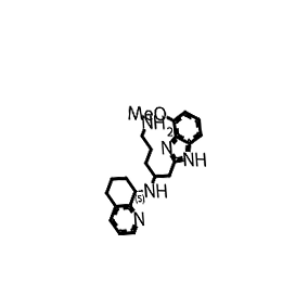 COc1cccc2[nH]c(CC(CCCN)N[C@H]3CCCc4cccnc43)nc12